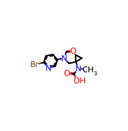 CN(C(=O)O)C1(CN(C=O)c2ccc(Br)nc2)CC1